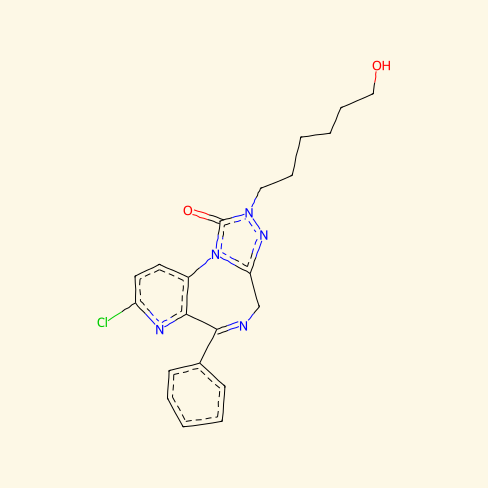 O=c1n(CCCCCCO)nc2n1-c1ccc(Cl)nc1C(c1ccccc1)=NC2